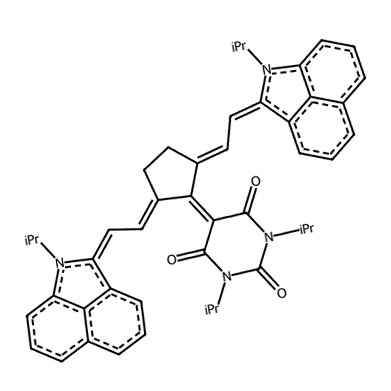 CC(C)N1C(=O)C(=C2/C(=C/C=c3\c4cccc5cccc(c54)n3C(C)C)CC/C2=C\C=c2/c3cccc4cccc(c43)n2C(C)C)C(=O)N(C(C)C)C1=O